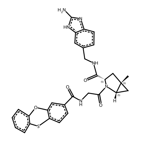 C[C@@]12C[C@@H]1N(C(=O)CNC(=O)c1ccc3c(c1)Oc1ccccc1S3)[C@H](C(=O)NCc1ccc3nc(N)[nH]c3c1)C2